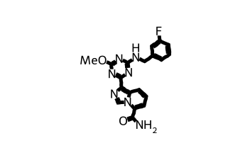 COc1nc(NCc2cccc(F)c2)nc(-c2ncn3c(C(N)=O)cccc23)n1